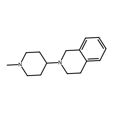 CN1CCC(N2CCc3cc[c]cc3C2)CC1